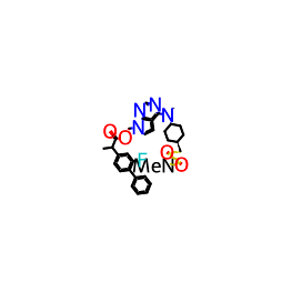 CNS(=O)(=O)C[C@H]1CC[C@H](N(C)c2ncnc3c2ccn3COC(=O)C(C)c2ccc(-c3ccccc3)c(F)c2)CC1